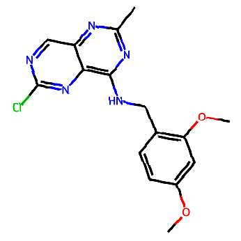 COc1ccc(CNc2nc(C)nc3cnc(Cl)nc23)c(OC)c1